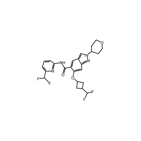 O=C(Nc1cccc(C(F)F)n1)c1cc2cn(C3CCOCC3)nc2cc1OC1CC(C(F)F)C1